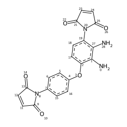 Nc1c(Oc2ccc(N3C(=O)C=CC3=O)cc2)ccc(N2C(=O)C=CC2=O)c1N